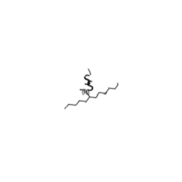 CCCCCCC(CCCCC)[C@@H](C)SSCC